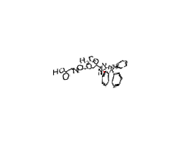 COC(COCON=CC(=O)O)c1nsc(NC(c2ccccc2)(c2ccccc2)c2ccccc2)n1